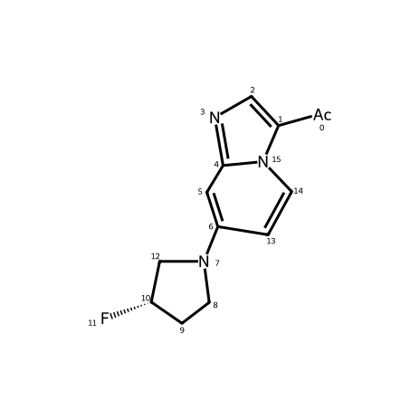 CC(=O)c1cnc2cc(N3CC[C@H](F)C3)ccn12